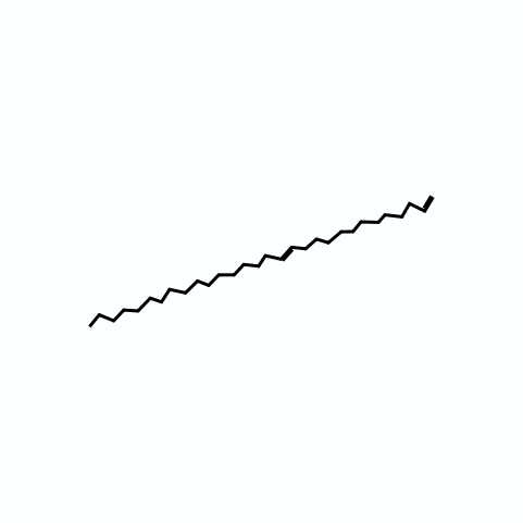 C=CCCCCCCCCCCC=CCCCCCCCCCCCCCCCC